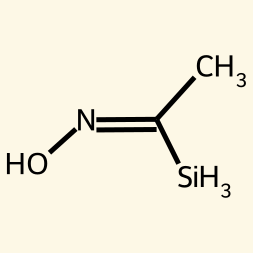 CC([SiH3])=NO